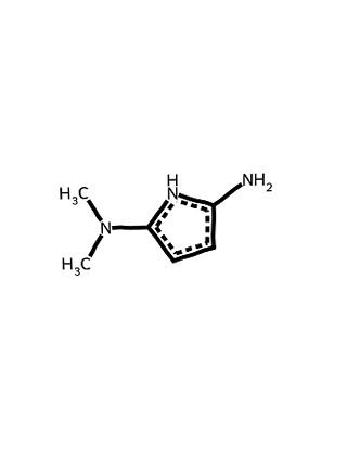 CN(C)c1ccc(N)[nH]1